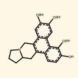 COc1cc2c3c(c4ccc(O)c(OC)c4c2cc1OC)CC1CCCN1C3